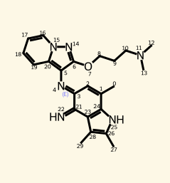 CC1=C/C(=N\c2c(OCCCN(C)C)nn3ccccc23)C(=N)c2c1[nH]c(C)c2C